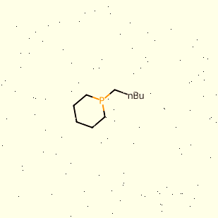 CCCCCP1CCCCC1